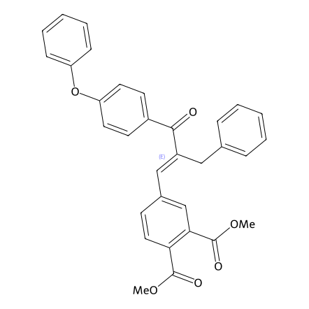 COC(=O)c1ccc(/C=C(\Cc2ccccc2)C(=O)c2ccc(Oc3ccccc3)cc2)cc1C(=O)OC